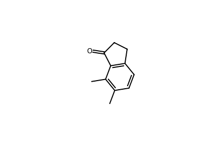 Cc1ccc2c(c1C)C(=O)CC2